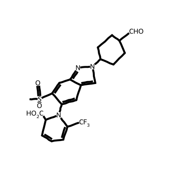 CS(=O)(=O)c1cc2nn(C3CCC(C=O)CC3)cc2cc1N1C(C(F)(F)F)=CC=CC1C(=O)O